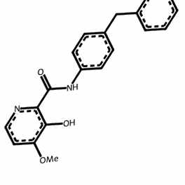 COc1ccnc(C(=O)Nc2ccc(Cc3ccccc3)cc2)c1O